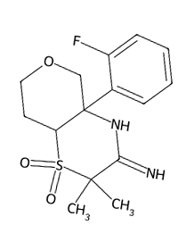 CC1(C)C(=N)NC2(c3ccccc3F)COCCC2S1(=O)=O